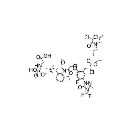 C=CCN(CC=C)C(=O)C(Cl)Cl.CCOC(=O)C(Cl)Cc1cc(-n2nc(C)n(C(F)F)c2=O)c(F)cc1Cl.CCc1cccc(CC)c1N(COC)C(=O)CCl.C[S+](C)C.O=C(O)CNCP(=O)([O-])O